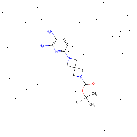 CC(C)(C)OC(=O)N1CC2(C1)CN(c1ccc(N)c(N)n1)C2